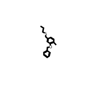 CCCSCc1ccc(C)c(OCc2ccccc2)c1